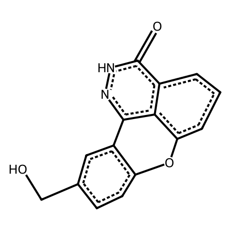 O=c1[nH]nc2c3c(cccc13)Oc1ccc(CO)cc1-2